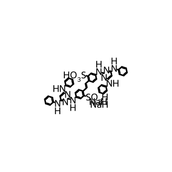 O=S(=O)(O)c1cc(Nc2nc(Nc3ccccc3)cc(Nc3ccccc3)n2)ccc1/C=C/c1ccc(Nc2nc(Nc3ccccc3)cc(Nc3ccccc3)n2)cc1S(=O)(=O)O.[NaH].[NaH]